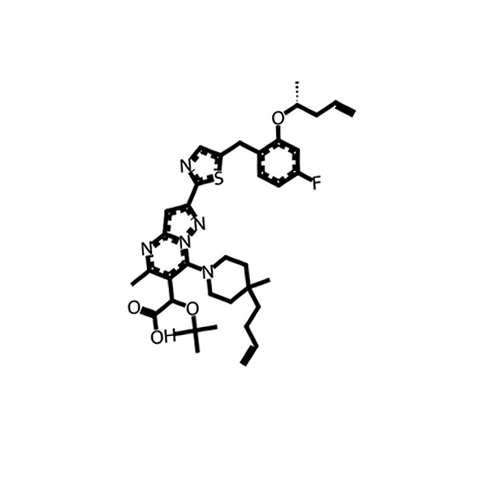 C=CCCC1(C)CCN(c2c(C(OC(C)(C)C)C(=O)O)c(C)nc3cc(-c4ncc(Cc5ccc(F)cc5O[C@H](C)CC=C)s4)nn23)CC1